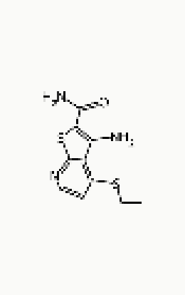 CCSc1ccnc2sc(C(N)=O)c(N)c12